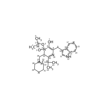 C[SiH](C)O[N+]1([O-])C(O)=C(Cc2c[nH]c3ccccc23)N=C(C(C)(C)C)C1CC1CCCCC1